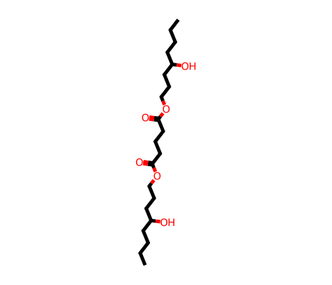 CCCCC(O)CCCOC(=O)CCCC(=O)OCCCC(O)CCCC